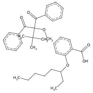 CCCCCC(CC)Oc1ccccc1C(=O)O.COC(C(=O)c1ccccc1)(C(=O)c1ccccc1)C(C)(C)C